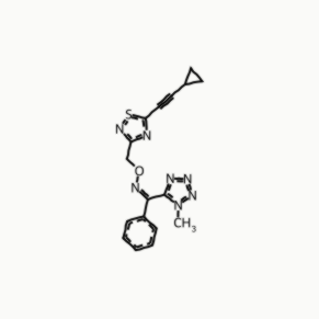 Cn1nnnc1C(=NOCc1nsc(C#CC2CC2)n1)c1ccccc1